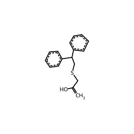 C=C(O)CSCC(c1ccccc1)c1ccccc1